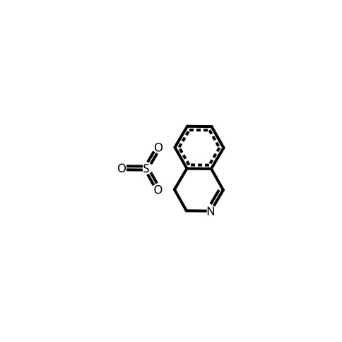 C1=NCCc2ccccc21.O=S(=O)=O